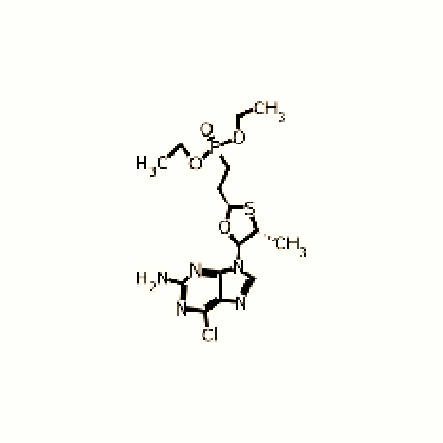 CCOP(=O)(CC[C@@H]1O[C@H](n2cnc3c(Cl)nc(N)nc32)[C@@H](C)S1)OCC